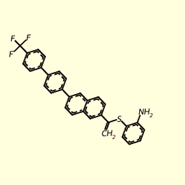 C=C(Sc1ccccc1N)c1ccc2cc(-c3ccc(-c4ccc(C(F)(F)F)cc4)cc3)ccc2c1